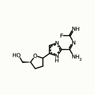 N=C(F)/N=C(/N)c1ncc(C2CC[C@@H](CO)O2)[nH]1